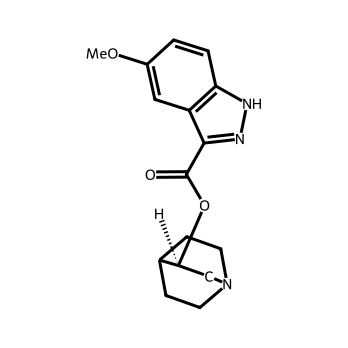 COc1ccc2[nH]nc(C(=O)O[C@H]3CN4CCC3CC4)c2c1